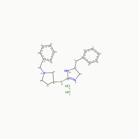 Cl.Cl.c1ccc(CC2CN=C(SC3CCN(Cc4ccccc4)C3)N2)cc1